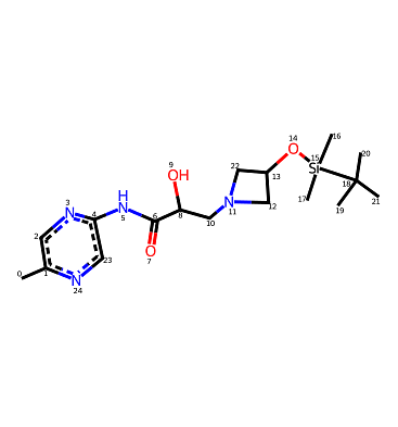 Cc1cnc(NC(=O)C(O)CN2CC(O[Si](C)(C)C(C)(C)C)C2)cn1